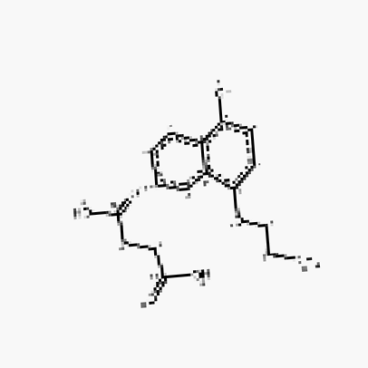 CCCOc1ccc(O)c2ccccc12.O=C(O)CCC(=O)O